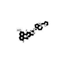 C#Cc1c(F)ccc2cc(O)cc(-c3ncc4cnc(OC[C@]56CCC[C@H]5N(CC5CCCO5)CCC6)nc4c3F)c12